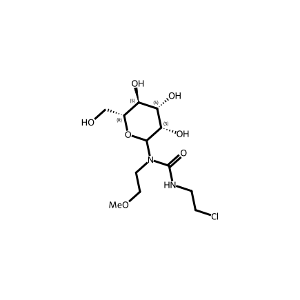 COCCN(C(=O)NCCCl)C1O[C@H](CO)[C@@H](O)[C@H](O)[C@@H]1O